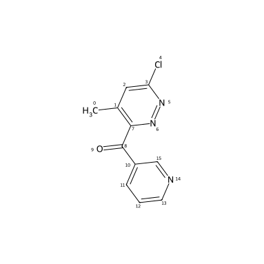 Cc1cc(Cl)nnc1C(=O)c1cccnc1